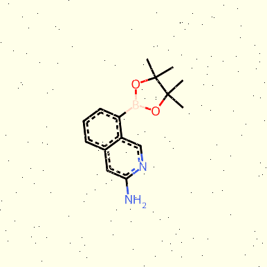 CC1(C)OB(c2cccc3cc(N)ncc23)OC1(C)C